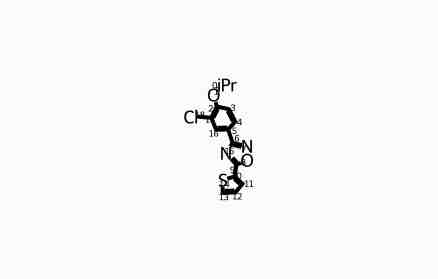 CC(C)Oc1ccc(-c2noc(-c3cccs3)n2)cc1Cl